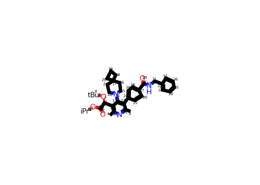 Cc1nc(C)c([C@H](OC(C)(C)C)C(=O)OC(C)C)c(N2CCC3(CCC3)CC2)c1-c1ccc(C(=O)NCc2ccccc2)cc1